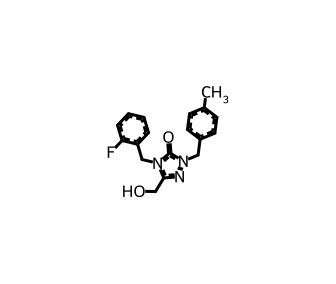 Cc1ccc(Cn2nc(CO)n(Cc3ccccc3F)c2=O)cc1